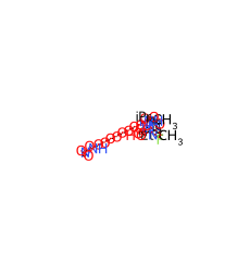 CC[C@@]1(O)C(=O)OCc2c1cc1n(c2=O)Cc2c-1nc1cc(F)c(C)c3c1c2[C@@H](NC(=O)[C@@H](C)NC(=O)[C@H](NC(=O)CCOCCOCCOCCOCCOCCOCCOCCOCCNC(=O)CCN1C(=O)C=CC1=O)C(C)C)CC3